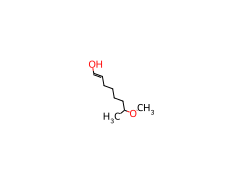 COC(C)CCCCC=CO